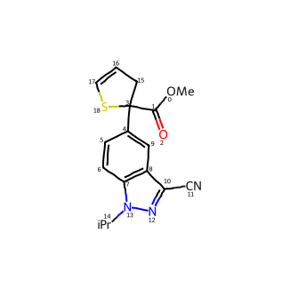 COC(=O)C1(c2ccc3c(c2)c(C#N)nn3C(C)C)CC=CS1